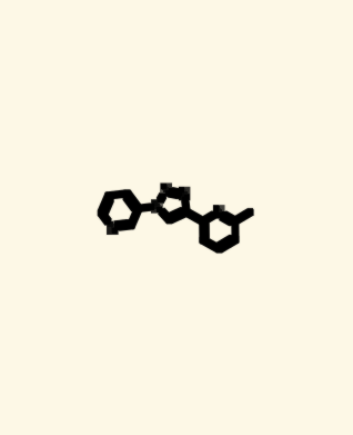 Cc1cccc(-c2cn(-c3cccnc3)nn2)n1